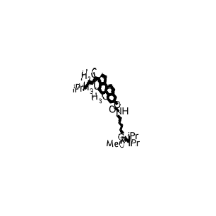 COP(OCCCCCCNC(=O)OC1CC[C@@]2(C)C(=CCC3C2CC[C@@]2(C)C3CC[C@@H]2[C@H](C)CCCC(C)C)C1)N(C(C)C)C(C)C